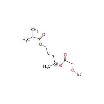 C=C(C)C(=O)OCCC[SiH](C)OC(=O)COCC